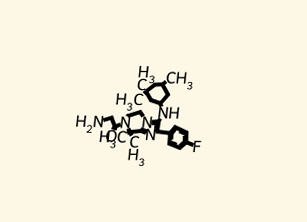 CC1CC(Nc2c(-c3ccc(F)cc3)nc3n2CCN(C(=O)CN)C3(C)C)CC(C)(C)C1